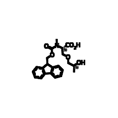 C[C@H](O)COC[C@@H](C(=O)O)N(C)C(=O)OCC1c2ccccc2-c2ccccc21